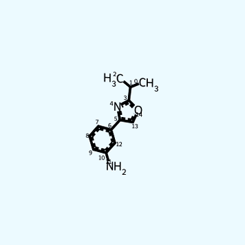 CC(C)c1nc(-c2cccc(N)c2)co1